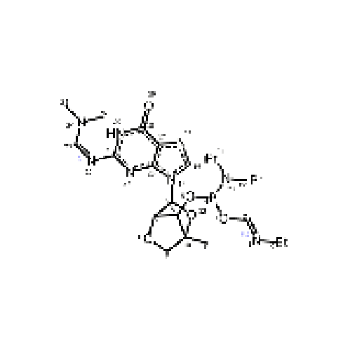 CC/N=C/OP(OC1C2OCC1(C)OC2n1cnc2c(=O)[nH]c(/N=C\N(C)C)nc21)N(C(C)C)C(C)C